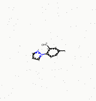 Cc1ccc(-n2cccn2)c(C=O)c1